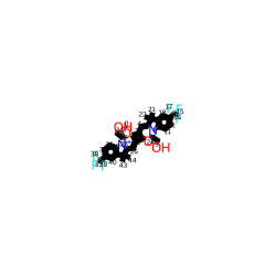 COC1=C(/C=C2\N(CCO)c3ccc(C(F)(F)F)cc3C2(C)C)C(=O)/C1=C/C1=[N+](CCO)c2ccc(C(F)(F)F)cc2C1(C)C